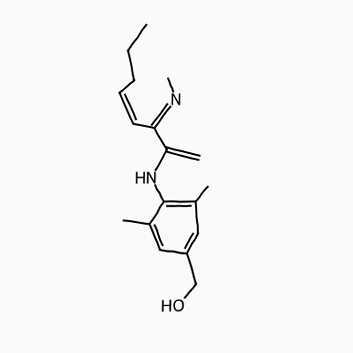 C=C(Nc1c(C)cc(CO)cc1C)C(/C=C\CCC)=N/C